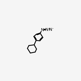 [N-]=[N+]=Nc1ccc(C2CCCCC2)cc1